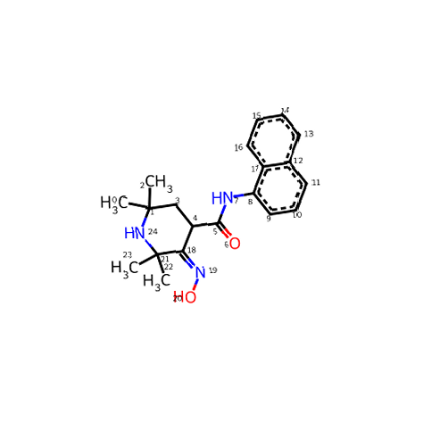 CC1(C)CC(C(=O)Nc2cccc3ccccc23)C(=NO)C(C)(C)N1